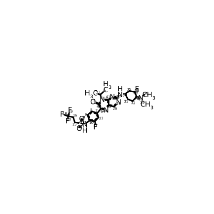 CC(C)n1c(=O)c(-c2ccc(NS(=O)(=O)CCC(F)(F)F)c(F)c2)nc2cnc(N[C@H]3CC[C@H](N(C)C)[C@@H](F)C3)nc21